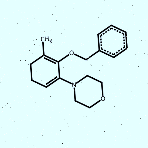 CC1=C(OCc2ccccc2)C(N2CCOCC2)=CC[CH]1